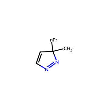 [CH2]C1(CCC)C=CN=N1